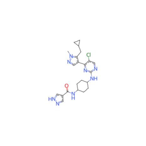 Cn1ncc(-c2nc(NC3CCC(NC(=O)c4cn[nH]c4)CC3)ncc2Cl)c1CC1CC1